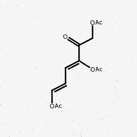 CC(=O)O/C=C/C=C(\OC(C)=O)C(=O)COC(C)=O